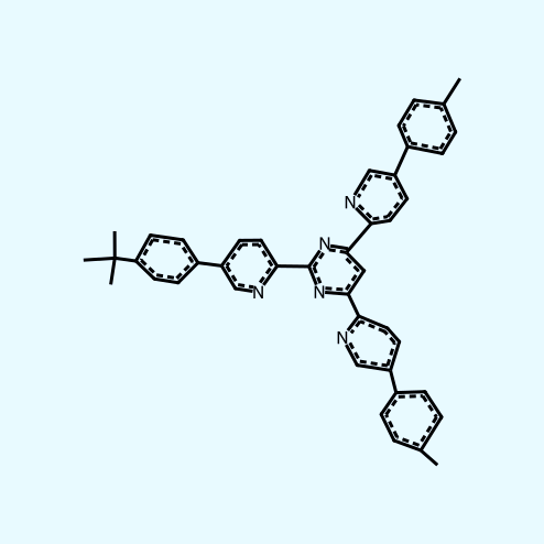 Cc1ccc(-c2ccc(-c3cc(-c4ccc(-c5ccc(C)cc5)cn4)nc(-c4ccc(-c5ccc(C(C)(C)C)cc5)cn4)n3)nc2)cc1